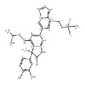 CC1(c2ccc(Cl)c(O)c2)C(=O)Nc2nc(-c3cn4ncnc4c(CCC(F)(F)C(F)(F)F)n3)nc(NCC(O)C(F)(F)F)c21